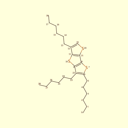 CCCCCCc1sc2c(sc3c(CCCCCC)csc32)c1CCCCCC